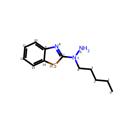 CCCCCN(N)c1nc2ccccc2s1